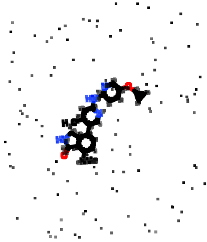 CNc1ccc(-c2cnc(Nc3ccc(OC4=CC4)cn3)cc2C)c2c1C(=O)NC2